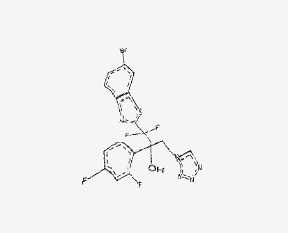 OC(Cn1cnnn1)(c1ccc(F)cc1F)C(F)(F)c1nc2ccc(Br)cc2s1